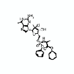 CC(NP(=O)(OC[C@H]1O[C@@H](n2cnc3c2N=C(N)NC3C)[C@](C)(Cl)[C@@H]1O)Oc1ccccc1)C(=O)OC1CCCCC1